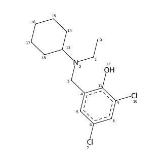 CCN(Cc1cc(Cl)cc(Cl)c1O)C1CCCCC1